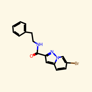 O=C(NCCc1ccccc1)c1cc2ccc(Br)cn2n1